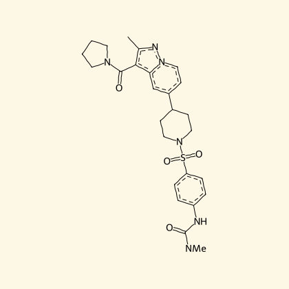 CNC(=O)Nc1ccc(S(=O)(=O)N2CCC(c3ccn4nc(C)c(C(=O)N5CCCC5)c4c3)CC2)cc1